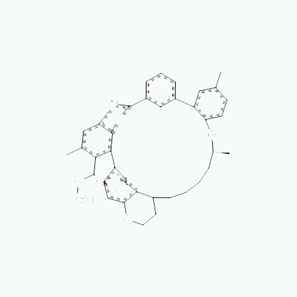 Cc1ccc2c(c1)-c1cccc(c1)-c1nc3cc(C)c(C(OC(C)(C)C)C(=O)O)c(c3s1)-c1ccc3c(c1)C(CCCC[C@H](C)O2)CCO3